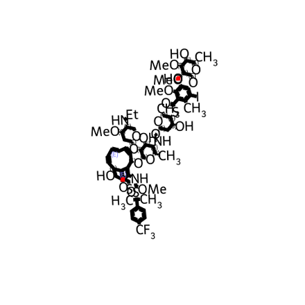 CCN[C@H]1CO[C@@H](O[C@H]2[C@H](O[C@H]3C#C/C=C/C#C[C@]4(O)CC(=O)C(NC(=O)OC)=C3/C4=C\CSSC(C)(C)c3ccc(C(F)(F)F)cc3)O[C@H](C)[C@@H](NO[C@H]3C[C@H](O)[C@H](SC(=O)c4c(C)c(I)c(O[C@@H]5O[C@@H](C)[C@H](O)[C@@H](OC)[C@H]5O)c(OC)c4OC)[C@@H](C)O3)[C@@H]2O)C[C@@H]1OC